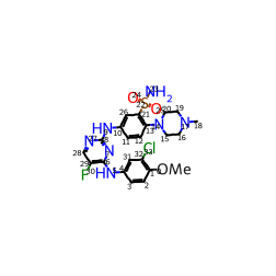 COc1ccc(Nc2nc(Nc3ccc(N4CCN(C)CC4)c(S(N)(=O)=O)c3)ncc2F)cc1Cl